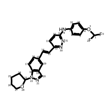 FC(F)Oc1ccc(Nc2ccc(C=Cc3ccc4c(cnn4C4CCCCO4)c3)nn2)cc1